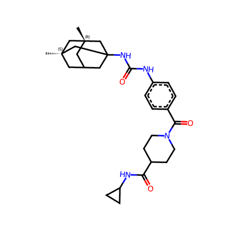 C[C@]12CC3CC(NC(=O)Nc4ccc(C(=O)N5CCC(C(=O)NC6CC6)CC5)cc4)(C1)C[C@@](C)(C3)C2